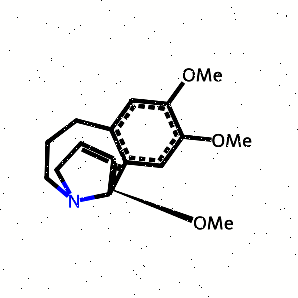 COc1cc2c(cc1OC)[C@]13C[C@H](OC)C=CC1=CCN3CCC2